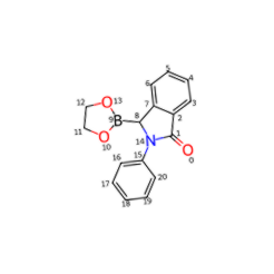 O=C1c2ccccc2C(B2OCCO2)N1c1ccccc1